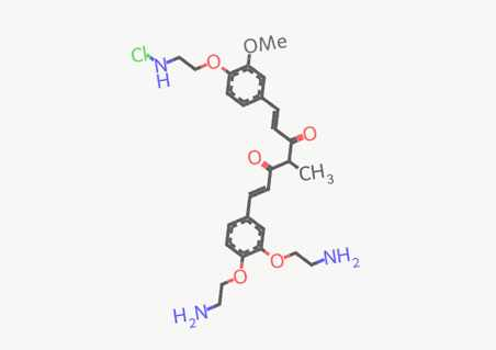 COc1cc(/C=C/C(=O)C(C)C(=O)/C=C/c2ccc(OCCN)c(OCCN)c2)ccc1OCCNCl